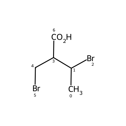 CC(Br)C(CBr)C(=O)O